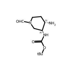 CC(C)(C)OC(=O)N[C@@H]1CN(C=O)CC[C@@H]1N